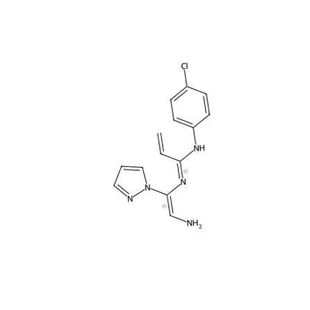 C=C/C(=N\C(=C/N)n1cccn1)Nc1ccc(Cl)cc1